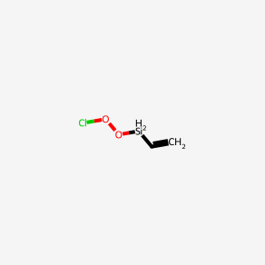 C=C[SiH2]OOCl